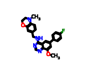 COc1cc(-c2ccc(F)cc2)cc2c(NCc3ccc4c(c3)OCCN4C)ncnc12